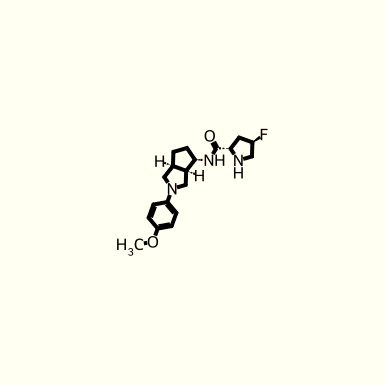 COc1ccc(N2C[C@H]3CC[C@H](NC(=O)[C@@H]4C[C@@H](F)CN4)[C@H]3C2)cc1